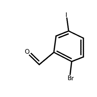 O=Cc1cc(I)ccc1Br